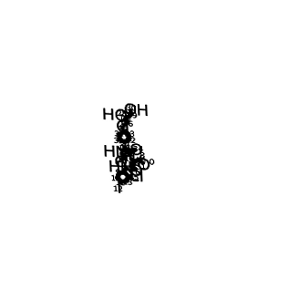 CO[C@H](C)[C@@H](C(=O)Nc1ccc(I)cc1Cl)N1C(=O)N[C@H](c2ccc(OC[C@H](O)CO)cc2)C1=O